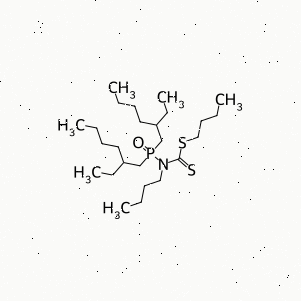 CCCCSC(=S)N(CCCC)P(=O)(CC(CC)CCCC)CC(CC)CCCC